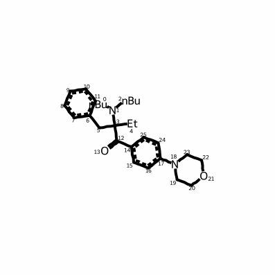 CCCCN(CCCC)C(CC)(Cc1ccccc1)C(=O)c1ccc(N2CCOCC2)cc1